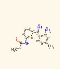 C=CC(=O)Nc1cccc(C(=N)c2ccc(C)cc2N)c1